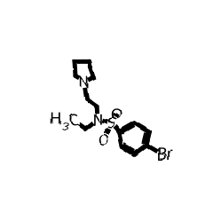 CCN(CCN1CCCC1)S(=O)(=O)c1ccc(Br)cc1